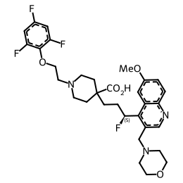 COc1ccc2ncc(CN3CCOCC3)c([C@@H](F)CCC3(C(=O)O)CCN(CCOc4c(F)cc(F)cc4F)CC3)c2c1